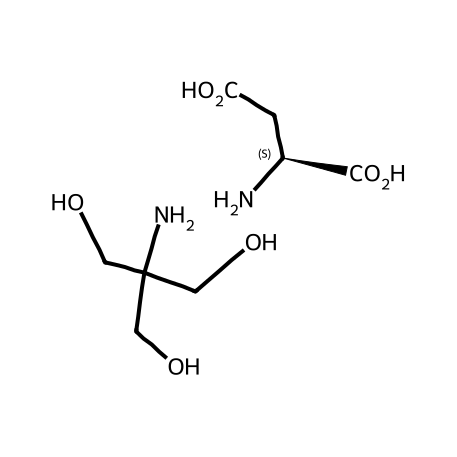 NC(CO)(CO)CO.N[C@@H](CC(=O)O)C(=O)O